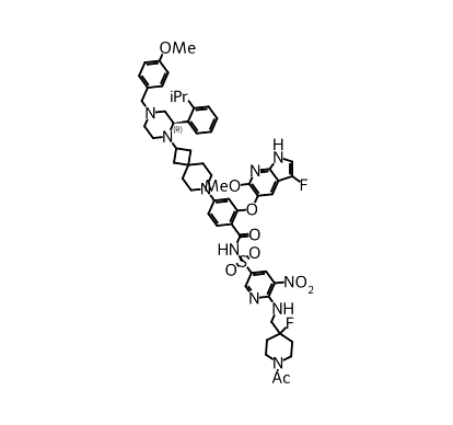 COc1ccc(CN2CCN(C3CC4(CCN(c5ccc(C(=O)NS(=O)(=O)c6cnc(NCC7(F)CCN(C(C)=O)CC7)c([N+](=O)[O-])c6)c(Oc6cc7c(F)c[nH]c7nc6OC)c5)CC4)C3)[C@H](c3ccccc3C(C)C)C2)cc1